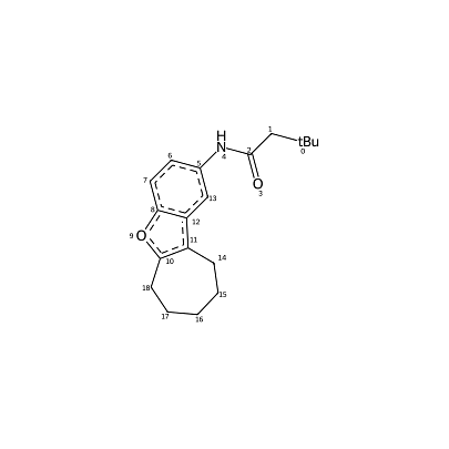 CC(C)(C)CC(=O)Nc1ccc2oc3c(c2c1)CCCCC3